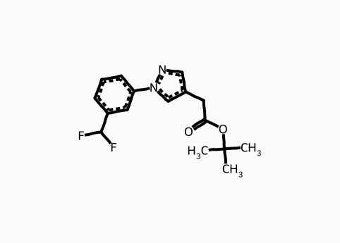 CC(C)(C)OC(=O)Cc1cnn(-c2cccc(C(F)F)c2)c1